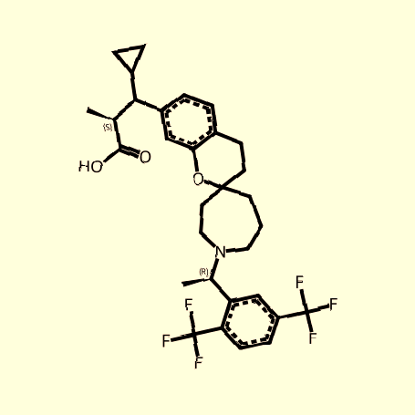 C[C@H](C(=O)O)C(c1ccc2c(c1)OC1(CCCN([C@H](C)c3cc(C(F)(F)F)ccc3C(F)(F)F)CC1)CC2)C1CC1